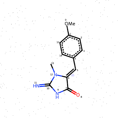 COc1ccc(/C=C2/C(=O)NC(=N)N2C)cc1